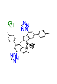 CC1=Cc2c(cc(-c3ccc(C)cc3)cc2-n2ncnn2)[C@@H]1[Zr+2]([C@H]1C(C)=Cc2c1cc(-c1ccc(C)cc1)cc2-n1ncnn1)=[Si](C)C.[Cl-].[Cl-]